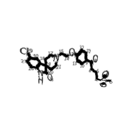 CS(=O)(=O)CCCC(=O)c1ccc(OCCN2CCC3(CC2)C(=O)Nc2ccc(Cl)cc23)cc1